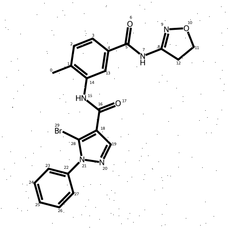 Cc1ccc(C(=O)NC2=NOCC2)cc1NC(=O)c1cnn(-c2ccccc2)c1Br